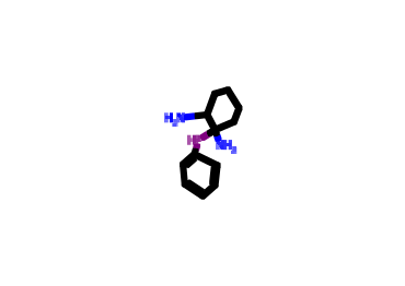 NC1CCCCC1(N)Pc1ccccc1